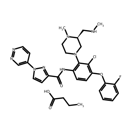 CCCC(=O)O.CNC[C@H]1CN(c2c(NC(=O)c3ccn(-c4ccnnc4)n3)ccc(Oc3ccccc3F)c2Cl)CCN1C